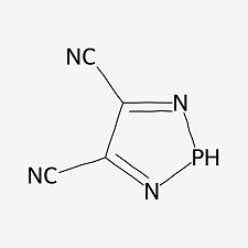 N#Cc1n[pH]nc1C#N